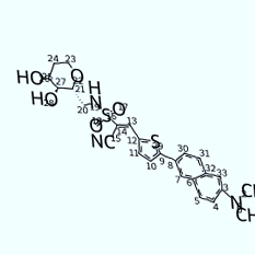 CN(C)c1ccc2cc(-c3ccc(/C=C(\C#N)S(=O)(=O)NC[C@H]4OCC[C@@H](O)[C@@H]4O)s3)ccc2c1